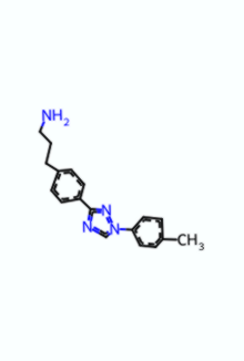 Cc1ccc(-n2cnc(-c3ccc(CCCN)cc3)n2)cc1